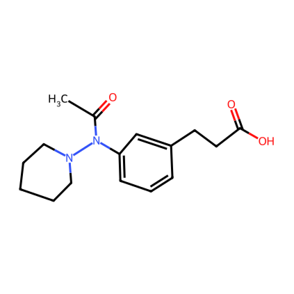 CC(=O)N(c1cccc(CCC(=O)O)c1)N1CCCCC1